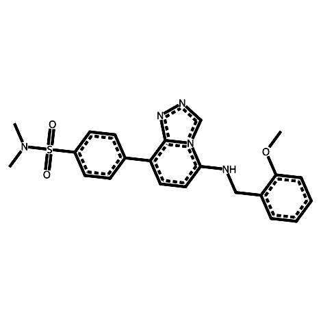 COc1ccccc1CNc1ccc(-c2ccc(S(=O)(=O)N(C)C)cc2)c2nncn12